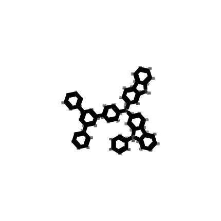 c1ccc(-c2cc(-c3ccccc3)cc(-c3ccc(N(c4ccc5c(c4)sc4ccccc45)c4ccc5c6ccccc6n(-c6ccccc6)c5c4)cc3)c2)cc1